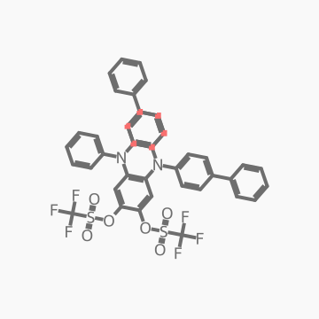 O=S(=O)(Oc1cc(N(c2ccccc2)c2ccccc2)c(N(c2ccc(-c3ccccc3)cc2)c2ccc(-c3ccccc3)cc2)cc1OS(=O)(=O)C(F)(F)F)C(F)(F)F